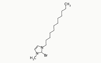 CCCCCCCCCCCCN1C=CN(C)C1Br